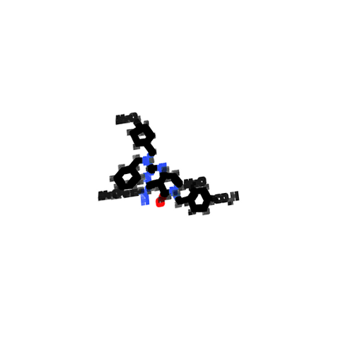 CCC[C@@H](C)Nc1nc(N(Cc2ccc(OC)cc2)Cc2ccc(OC)cc2)nc2ccn(Cc3ccc(C(=O)O)cc3OC)c(=O)c12